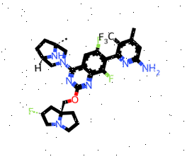 Cc1cc(N)nc(-c2c(F)cc3c(N4C[C@H]5CC[C@@](C)(C4)N5)nc(OC[C@@]45CCCN4C[C@H](F)C5)nc3c2F)c1C(F)(F)F